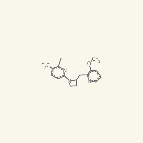 Cc1nc(N2CCC2Cc2ncccc2OC(F)(F)F)ccc1C(F)(F)F